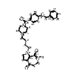 CN1CCC(=O)c2ccn(CCCCN3CCN(C(=O)c4ccc(OCc5ccccc5)cc4)CC3)c2C1=O